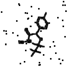 Cc1ccc(C(O[Si](C)(C)C(C)(C)C)C(=O)NO)cc1